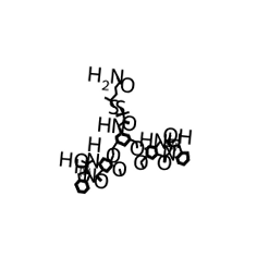 COc1cc2c(cc1OCc1cc(COc3cc4c(cc3OC)C(=O)N3c5ccccc5C[C@H]3C(O)N4)cc(NC(=O)C(C)(C)SSC(C)CCC(N)=O)c1)NC(O)[C@@H]1Cc3ccccc3N1C2=O